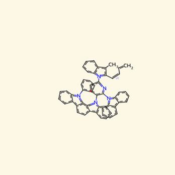 C=C/C=C\c1c(C)c2ccccc2n1-c1ccc(-n2c3ccccc3c3ccc4c5ccccc5n(-c5ccccc5)c4c32)c(-n2c3ccccc3c3ccccc32)n1